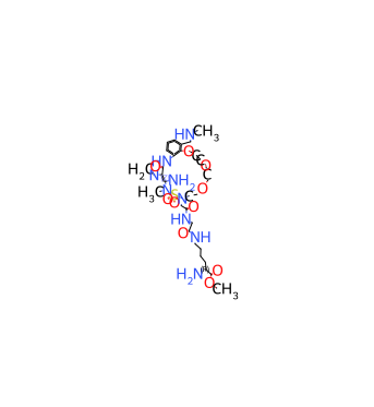 C=N/C1=C(/N)N(C)S(=O)(=O)N(CC(=O)NCC(=O)NCCCC[C@@H](N)C(=O)OC)CCOCCOCCOc2c(CNC)cccc2NC1=O